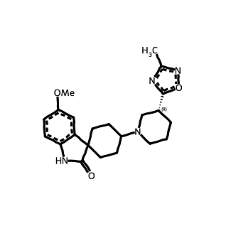 COc1ccc2c(c1)C1(CCC(N3CCC[C@@H](c4nc(C)no4)C3)CC1)C(=O)N2